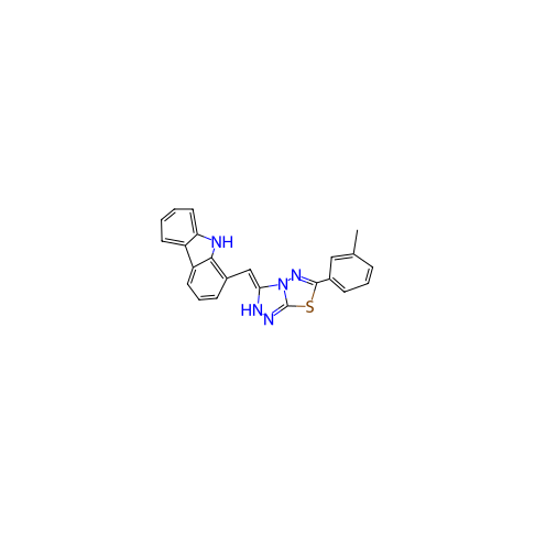 Cc1cccc(C2=NN3C(=Cc4cccc5c4[nH]c4ccccc45)NN=C3S2)c1